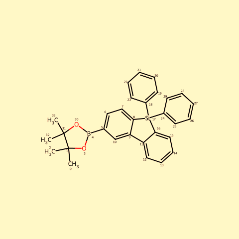 CC1(C)OB(c2ccc3c(c2)-c2ccccc2[Si]3(c2ccccc2)c2ccccc2)OC1(C)C